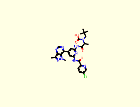 Cc1nn(C)c2c(-c3cc(NC(=O)c4ccc(Cl)cn4)nc(NC(=O)C(C)N(CC(C)(C)C)C(=O)O)c3)ncnc12